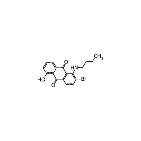 CCCCNc1c(Br)ccc2c1C(=O)c1cccc(O)c1C2=O